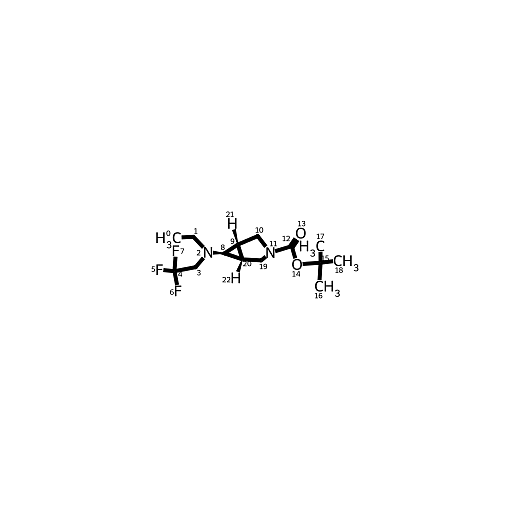 CCN(CC(F)(F)F)[C@H]1[C@@H]2CN(C(=O)OC(C)(C)C)C[C@@H]21